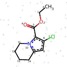 CCOC(=O)c1c(Cl)cc2n1CCCC2